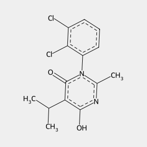 Cc1nc(O)c(C(C)C)c(=O)n1-c1cccc(Cl)c1Cl